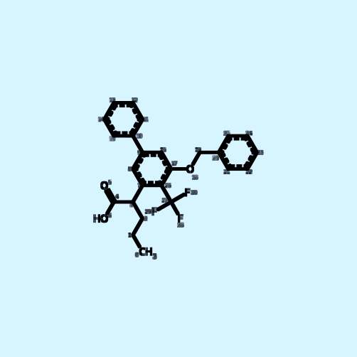 CCCC(C(=O)O)c1cc(-c2ccccc2)cc(OCc2ccccc2)c1C(F)(F)F